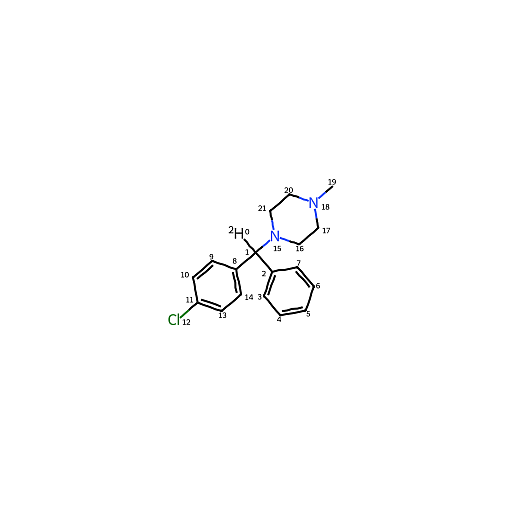 [2H]C(c1ccccc1)(c1ccc(Cl)cc1)N1CCN(C)CC1